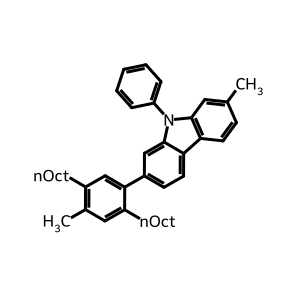 CCCCCCCCc1cc(-c2ccc3c4ccc(C)cc4n(-c4ccccc4)c3c2)c(CCCCCCCC)cc1C